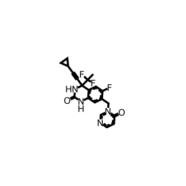 CC(F)(F)C1(C#CC2CC2)NC(=O)Nc2cc(Cn3cnccc3=O)c(F)cc21